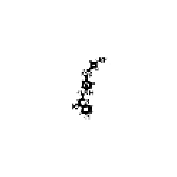 O=C(NC12CCC(c3nnc(C4CC(OC(F)(F)F)C4)o3)(CC1)CC2)[C@@H]1C[C@H](O)c2cc(Cl)ccc2O1